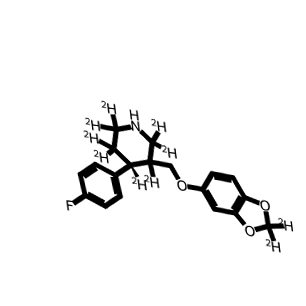 [2H]C1([2H])Oc2ccc(OCC3([2H])C([2H])([2H])NC([2H])([2H])C([2H])([2H])[C@@]3([2H])c3ccc(F)cc3)cc2O1